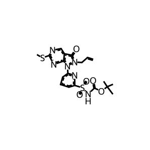 C=CCn1c(=O)c2cnc(SC)nc2n1-c1cccc(S(=O)(=O)NC(=O)OC(C)(C)C)n1